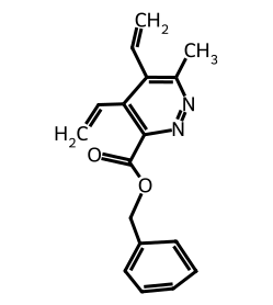 C=Cc1c(C)nnc(C(=O)OCc2ccccc2)c1C=C